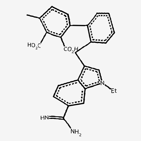 CCn1cc(Cc2ccccc2-c2ccc(C)c(C(=O)O)c2C(=O)O)c2ccc(C(=N)N)cc21